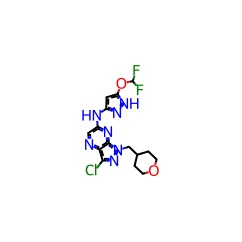 FC(F)Oc1cc(Nc2cnc3c(Cl)nn(CC4CCOCC4)c3n2)n[nH]1